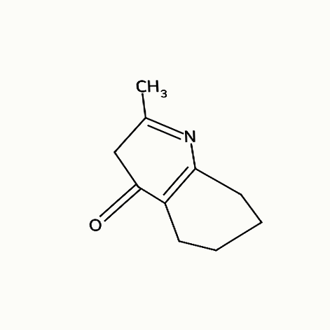 CC1=NC2=C(CCCC2)C(=O)C1